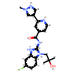 Cn1cc(-c2cc(C(=O)/N=c3\[nH]c4cc(F)ccc4n3CC(C)(C)O)ccn2)cn1